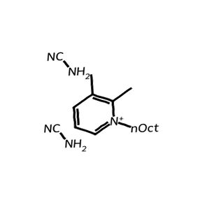 CCCCCCCC[n+]1cccc(C)c1C.N#CN.N#CN